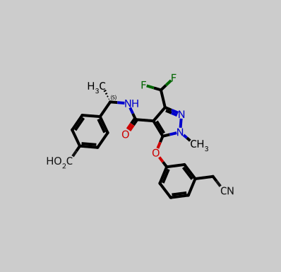 C[C@H](NC(=O)c1c(C(F)F)nn(C)c1Oc1cccc(CC#N)c1)c1ccc(C(=O)O)cc1